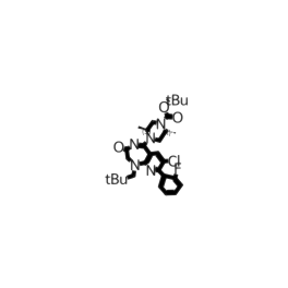 C[C@@H]1CN(C2=NC(=O)CN(CC(C)(C)C)c3nc(-c4ccccc4F)c(Cl)cc32)[C@@H](C)CN1C(=O)OC(C)(C)C